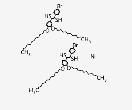 CCCCCCCCCCCCOc1ccc(C(S)=C(S)c2ccc(Br)cc2)cc1OCCCCCCCCCCCC.CCCCCCCCCCCCOc1ccc(C(S)=C(S)c2ccc(Br)cc2)cc1OCCCCCCCCCCCC.[Ni]